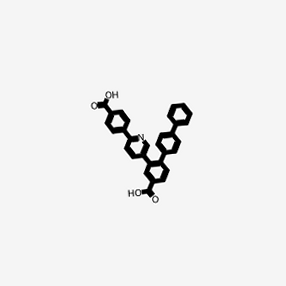 O=C(O)c1ccc(-c2ccc(-c3cc(C(=O)O)ccc3-c3ccc(-c4ccccc4)cc3)cn2)cc1